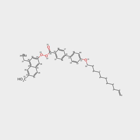 C=CCCCCCCCCCOc1ccc(-c2ccc(C(=O)OOc3cc(CC(C)CC)c4cc(C(=O)O)ccc4c3)cc2)cc1